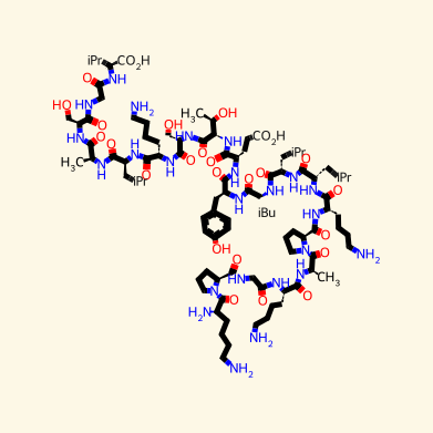 CC[C@H](C)[C@H](NC(=O)[C@H](CC(C)C)NC(=O)[C@H](CC(C)C)NC(=O)[C@H](CCCCN)NC(=O)[C@@H]1CCCN1C(=O)[C@H](C)NC(=O)[C@H](CCCCN)NC(=O)CNC(=O)[C@@H]1CCCN1C(=O)[C@@H](N)CCCCN)C(=O)N[C@@H](Cc1ccc(O)cc1)C(=O)N[C@@H](CCC(=O)O)C(=O)N[C@H](C(=O)N[C@@H](CO)C(=O)N[C@@H](CCCCN)C(=O)N[C@@H](CC(C)C)C(=O)N[C@@H](C)C(=O)N[C@@H](CO)C(=O)NCC(=O)N[C@H](C(=O)O)C(C)C)[C@@H](C)O